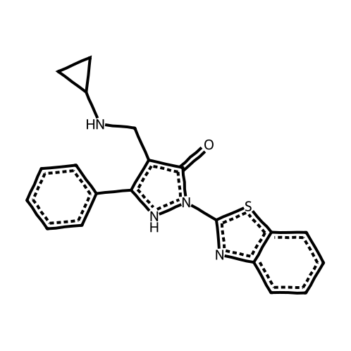 O=c1c(CNC2CC2)c(-c2ccccc2)[nH]n1-c1nc2ccccc2s1